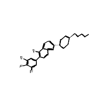 CCCCC[C@H]1CC[C@H](c2ccc3c(F)c(-c4cc(F)c(F)c(F)c4)ccc3c2)CC1